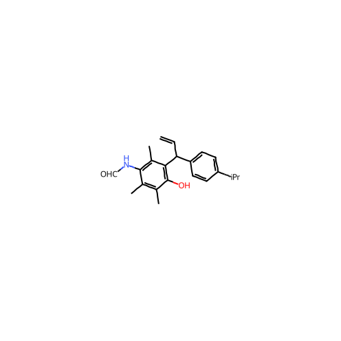 C=CC(c1ccc(C(C)C)cc1)c1c(C)c(NC=O)c(C)c(C)c1O